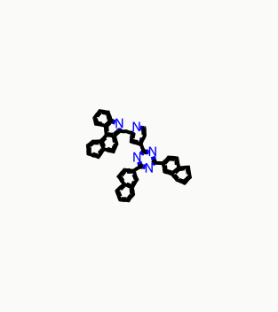 c1ccc2cc(-c3nc(-c4ccnc(-c5nc6ccccc6c6c5ccc5ccccc56)c4)nc(-c4ccc5ccccc5c4)n3)ccc2c1